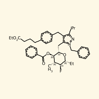 CCOC(=O)CCCc1ccc(Cc2c(C(C)C)nn(Cc3ccccc3)c2C[C@@H]2O[C@H](CC)[C@@H](F)[C@H](C)[C@H]2OC(=O)c2ccccc2)cc1